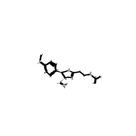 CSc1ccc([C@H]2OC(CCOC(C)C)=N[C@@H]2CO)cc1